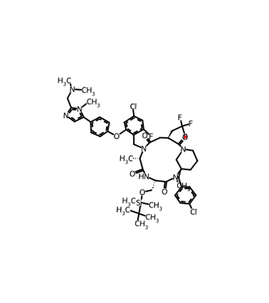 C[C@H]1C(=O)N[C@@H](CO[Si](C)(C)C(C)(C)C)C(=O)N(C)[C@@]2(Cc3ccc(Cl)cc3)CCCN(C2)C(=O)[C@H](CC(F)(F)F)CC(=O)N1Cc1c(F)cc(Cl)cc1Oc1ccc(-c2cnc(CN(C)C)n2C)cc1